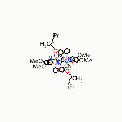 COc1cc2nc(/C(C#N)=c3/c4c(-c5cccc(OCCC(C)CCCC(C)C)c5)n(B(c5ccccc5)c5ccccc5)/c(=C(/C#N)c5nc6cc(OC)c(OC)cc6s5)c4c(-c4cccc(OCCC(C)CCCC(C)C)c4)n3B(c3ccccc3)c3ccccc3)sc2cc1OC